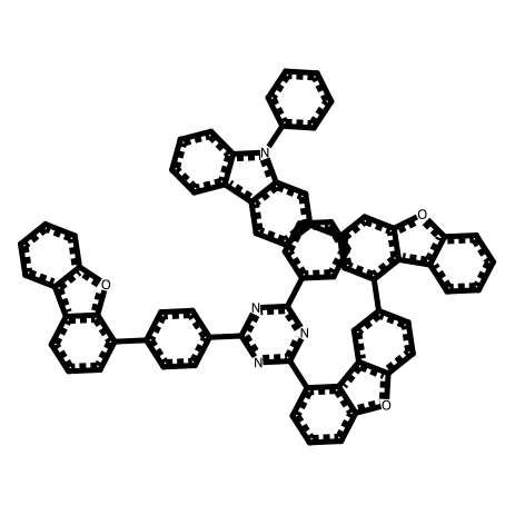 c1ccc(-c2nc(-c3ccc(-c4cccc5c4oc4ccccc45)cc3)nc(-c3cccc4oc5ccc(-c6cc(-c7ccc8c9ccccc9n(-c9ccccc9)c8c7)cc7oc8ccccc8c67)cc5c34)n2)cc1